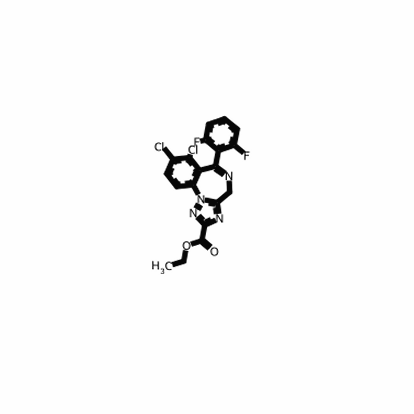 CCOC(=O)c1nc2n(n1)-c1ccc(Cl)c(Cl)c1C(c1c(F)cccc1F)=NC2